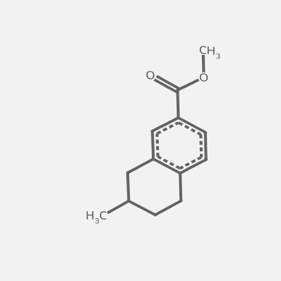 COC(=O)c1ccc2c(c1)CC(C)CC2